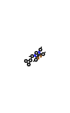 Cc1ccc(N2c3cccc4c3B(c3sc5ccc(C)cc5c32)c2sc3ccc(C)cc3c2N4c2ccc(C)c(-c3ccc4c5ccccc5c5ccccc5c4c3)c2)cc1